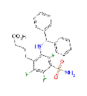 NS(=O)(=O)c1c(F)c(F)c(CCCC(=O)O)c(NC(c2ccccc2)c2ccccc2)c1F